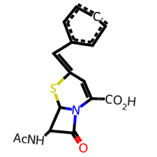 CC(=O)NC1C(=O)N2C(C(=O)O)=CC(=Cc3ccccc3)SC12